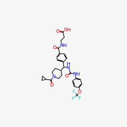 O=C(O)CCNC(=O)c1ccc(C(NC(=O)Nc2ccc(OC(F)(F)F)cc2)C2CCN(C(=O)C3CC3)CC2)cc1